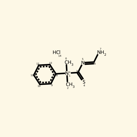 C[N+](C)(C(=S)N=CN)c1ccccc1.Cl